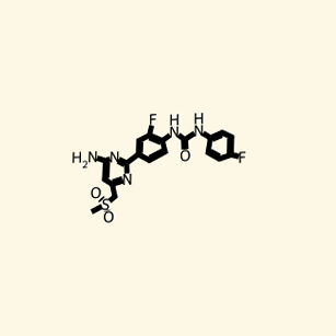 CS(=O)(=O)Cc1cc(N)nc(-c2ccc(NC(=O)Nc3ccc(F)cc3)c(F)c2)n1